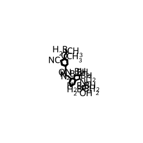 BC(C)(C)Oc1ccc(-c2nc(-c3cccc4c3C(B)(B)C(B)(B)[C@@H]4NC(B)(B)C(B)(B)O)no2)cc1C#N